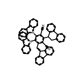 N#Cc1c(C=C2c3ccccc3-c3ccccc32)c(-n2c3ccccc3c3ccccc32)c(-n2c3ccccc3c3ccccc32)c(C#N)c1C1Cc2ccccc2-c2ccccc21